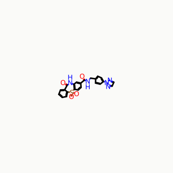 O=C(NCc1ccc(-n2nccn2)cc1)c1ccc2c(c1)NC(=O)c1ccccc1S2(=O)=O